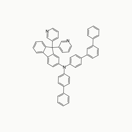 c1ccc(-c2ccc(N(c3ccc(-c4cccc(-c5ccccc5)c4)cc3)c3ccc4c(c3)C(c3cccnc3)(c3cccnc3)c3ccccc3-4)cc2)cc1